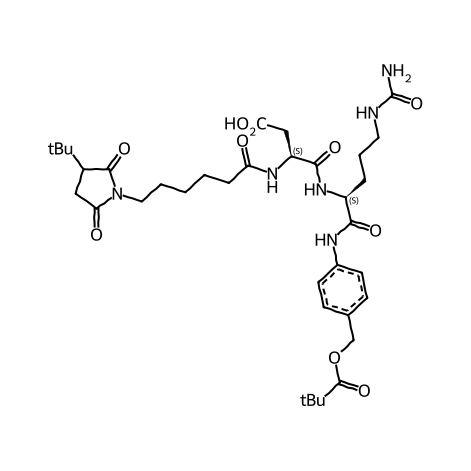 CC(C)(C)C(=O)OCc1ccc(NC(=O)[C@H](CCCNC(N)=O)NC(=O)[C@H](CC(=O)O)NC(=O)CCCCCN2C(=O)CC(C(C)(C)C)C2=O)cc1